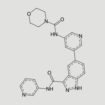 O=C(Nc1cccnc1)c1n[nH]c2ccc(-c3cncc(NC(=O)N4CCOCC4)c3)cc12